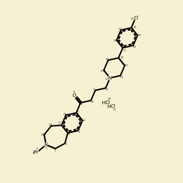 CC(C)N1CCc2ccc(C(=O)CCCN3CCC(c4ccc(Cl)cc4)CC3)cc2CC1.Cl.Cl